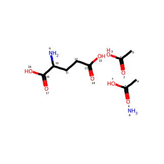 CC(=O)O.CC(=O)O.N.NC(CCC(=O)O)C(=O)O